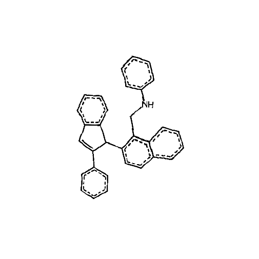 C1=C(c2ccccc2)C(c2ccc3ccccc3c2CNc2ccccc2)c2ccccc21